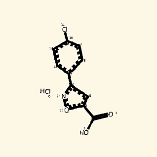 Cl.O=C(O)c1cc(-c2ccc(Cl)cc2)no1